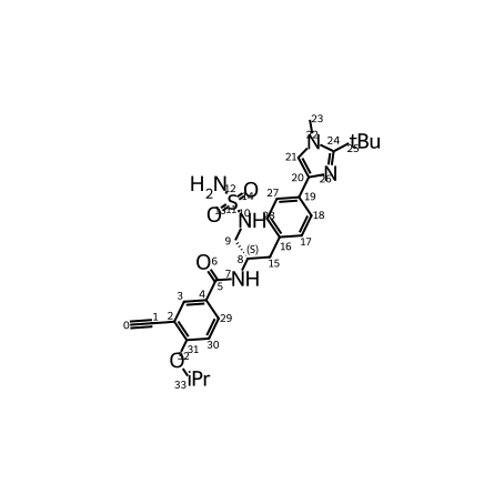 C#Cc1cc(C(=O)N[C@H](CNS(N)(=O)=O)Cc2ccc(-c3cn(C)c(C(C)(C)C)n3)cc2)ccc1OC(C)C